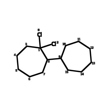 ClC1(Cl)CCCCCC1C1CCCCCC1